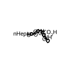 CCCCCCCOc1ccc(C(=O)Oc2ccc(CN(CC(=O)O)C(=O)c3ccc(NC(=O)C4CCCCC4)cc3)cc2)cc1